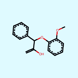 C=C(O)C(Oc1ccccc1OC)c1ccccc1